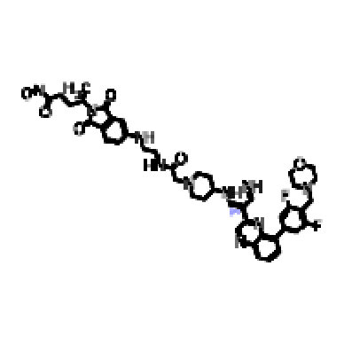 CC(CCC(=O)N=O)N1C(=O)c2ccc(NCCNC(=O)CN3CCC(N/C=C(\C=N)c4cnc5cccc(-c6cc(F)c(CN7CCOCC7)c(F)c6)c5n4)CC3)cc2C1=O